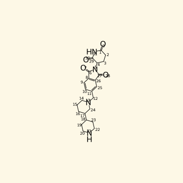 O=C1CCC(N2C(=O)c3ccc(CN4CCCC(C5CCNCC5)C4)cc3C2=O)C(=O)N1